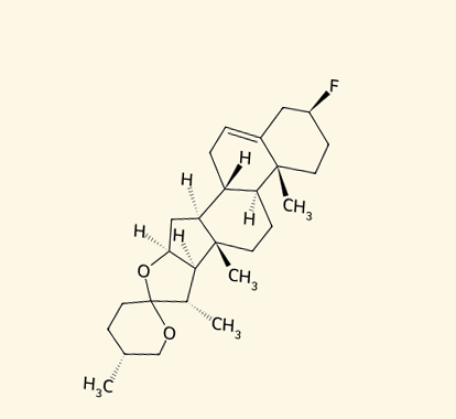 C[C@@H]1CCC2(OC1)O[C@H]1C[C@H]3[C@@H]4CC=C5C[C@@H](F)CC[C@]5(C)[C@H]4CC[C@]3(C)[C@H]1[C@@H]2C